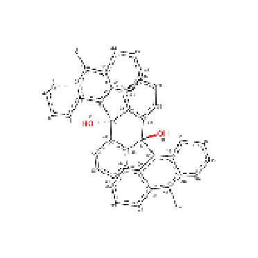 Cc1c2ccccc2c([C@]2(O)c3ccccc3[C@@](O)(c3c4ccccc4c(C)c4ccccc43)c3ccccc32)c2ccccc12